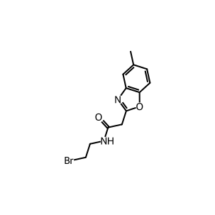 Cc1ccc2oc(CC(=O)NCCBr)nc2c1